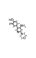 Nc1cc(N2CCOCC2)ncc1-c1ccc(O)c(F)c1